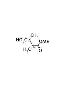 COC(=O)[C@H](C)N(C)C(=O)O